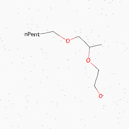 CCCCCCOCC(C)OCC[O]